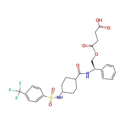 O=C(O)CCC(=O)OC[C@H](NC(=O)C1CCC(NS(=O)(=O)c2ccc(C(F)(F)F)cc2)CC1)c1ccccc1